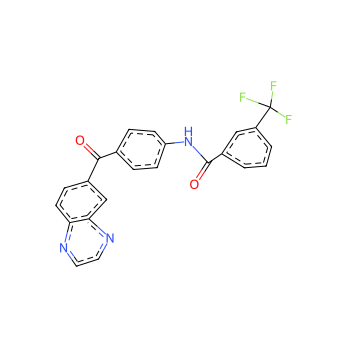 O=C(Nc1ccc(C(=O)c2ccc3nccnc3c2)cc1)c1cccc(C(F)(F)F)c1